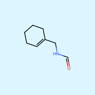 O=CNCC1=CCCCC1